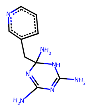 NC1=NC(N)(Cc2cccnc2)NC(N)=N1